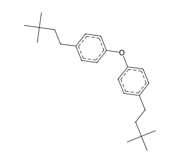 CC(C)(C)CCc1ccc(Oc2ccc(CCC(C)(C)C)cc2)cc1